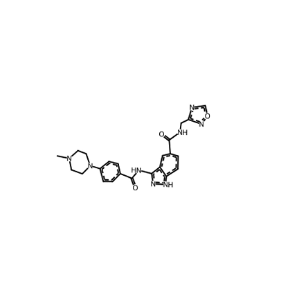 CN1CCN(c2ccc(C(=O)Nc3n[nH]c4ccc(C(=O)NCc5ncon5)cc34)cc2)CC1